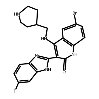 O=c1[nH]c2ccc(Br)cc2c(NCC2CCNCC2)c1-c1nc2ccc(F)cc2[nH]1